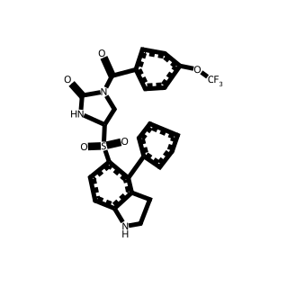 O=C1NC(S(=O)(=O)c2ccc3c(c2-c2ccccc2)CCN3)CN1C(=O)c1ccc(OC(F)(F)F)cc1